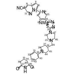 CNc1cc(-c2ccc3cc(C#N)cnn23)ncc1-c1nnc(N2CCN(CC3CCN(c4ccc([C@H]5CCC(=O)NC5=O)cc4)CC3)CC2)s1